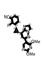 COc1ncc(-c2cc([C@H]3C[C@@H]3c3cccc(C#N)c3F)c3nccn3n2)c(OC)n1